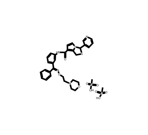 CS(=O)(=O)O.CS(=O)(=O)O.O=C(Nc1cccc(C(=NOCCN2CCOCC2)c2ccccc2)c1)c1ccn2c1CSC2c1cccnc1